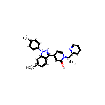 C[C@@H](c1ccccn1)n1ccc(-c2nn(-c3ccc(C(F)(F)F)cc3)c3cc(C(=O)O)ccc23)cc1=O